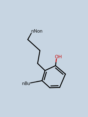 CCCCCCCCCCCCc1c(O)cccc1CCCC